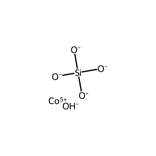 [Co+5].[O-][Si]([O-])([O-])[O-].[OH-]